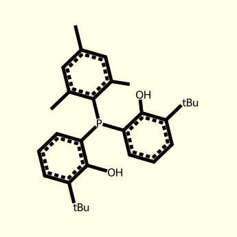 Cc1cc(C)c(P(c2cccc(C(C)(C)C)c2O)c2cccc(C(C)(C)C)c2O)c(C)c1